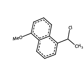 COc1cccc2c(C(C)Cl)cccc12